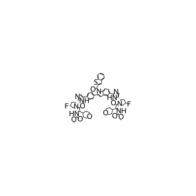 COC(=O)N[C@H](C(=O)N1C[C@H](F)C[C@@H]1c1ncc(-c2ccc3c(c2)OC(c2cc4ccccc4s2)n2c-3cc3cc(-c4ncc([C@@H]5C[C@@H](F)CN5C(=O)[C@@H](NC(=O)OC)C5CCOCC5)[nH]4)ccc32)[nH]1)C1CCOCC1